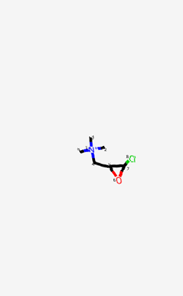 C[N+](C)(C)CC1OC1Cl